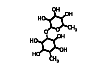 CC1O[C@@H](O[C@H]2C(O)C(O)[C@H](C)C(O)C2O)C(O)C(O)[C@H]1O